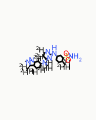 [2H]c1nc(Nc2ccc(C([2H])([2H])[2H])c(S(N)(=O)=O)c2)nc(N(c2c([2H])c([2H])c3c(C([2H])([2H])[2H])n(C)nc3c2[2H])C([2H])([2H])[2H])c1[2H]